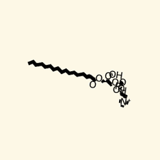 CCCCCCCCCCCCCCC=CC(=O)OC[C@H](COP(=O)(O)OCC[N+](C)(C)C)OO